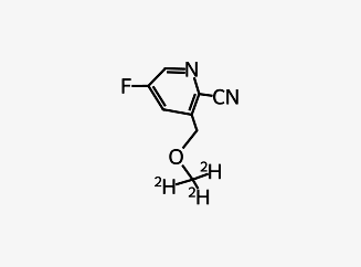 [2H]C([2H])([2H])OCc1cc(F)cnc1C#N